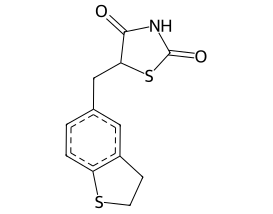 O=C1NC(=O)C(Cc2ccc3c(c2)CCS3)S1